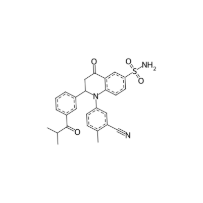 Cc1ccc(N2c3ccc(S(N)(=O)=O)cc3C(=O)CC2c2cccc(C(=O)C(C)C)c2)cc1C#N